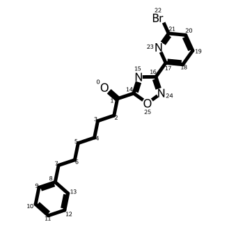 O=C(CCCCCCc1ccccc1)c1nc(-c2cccc(Br)n2)no1